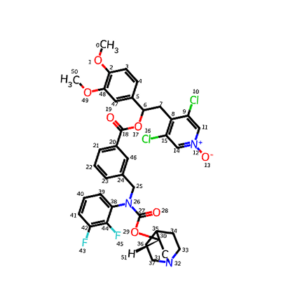 COc1ccc(C(Cc2c(Cl)c[n+]([O-])cc2Cl)OC(=O)c2cccc(CN(C(=O)O[C@H]3CN4CCC3CC4)c3cccc(F)c3F)c2)cc1OC